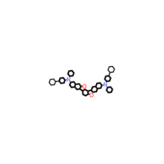 c1ccc(N(c2ccc(C3CCCCC3)cc2)c2ccc3cc4c(cc3c2)oc2c4ccc3oc4cc5cc(N(c6ccccc6)c6ccc(C7CCCCC7)cc6)ccc5cc4c32)cc1